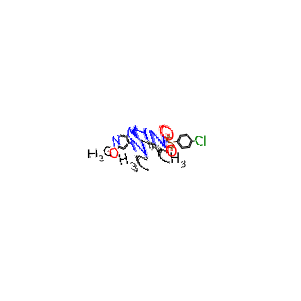 CCn1c([C@@H](C)NS(=O)(=O)c2ccc(Cl)cc2)nc2cnc(OC)cc21